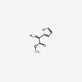 C=C(C(=O)OC)c1ccco1